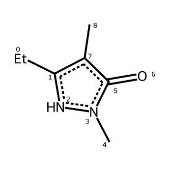 CCc1[nH]n(C)c(=O)c1C